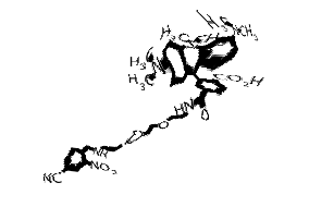 CN(C)c1ccc2c(c1)[Si](C)(C)C1=CC(N(C)C)C=CC1=C2c1cc(C(=O)NCCOCCOCCNCc2ccc(C#N)cc2[N+](=O)[O-])ccc1C(=O)O